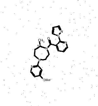 COc1ccnc(N2CC[C@@H](C)N(C(=O)c3cccnc3-n3cccn3)CC2)c1